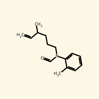 C=CC(C)CCCN(C=O)c1ccccc1C